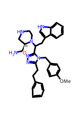 COc1ccc(Cn2c(CCc3ccccc3)nnc2C(Cc2c[nH]c3ccccc23)N2CCNC[C@@H]2C(N)=O)cc1